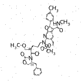 CNC(=O)c1c(-c2ccc(C)cc2)oc2nc(N(CCC[C@H](COC)C(=O)N3C(=O)OC[C@@H]3Cc3ccccc3)S(C)(=O)=O)c(I)cc12